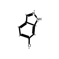 Clc1ccc2[c]n[nH]c2c1